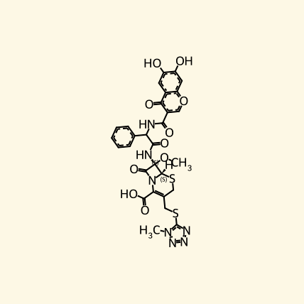 CO[C@@]1(NC(=O)C(NC(=O)c2coc3cc(O)c(O)cc3c2=O)c2ccccc2)C(=O)N2C(C(=O)O)=C(CSc3nnnn3C)CS[C@H]21